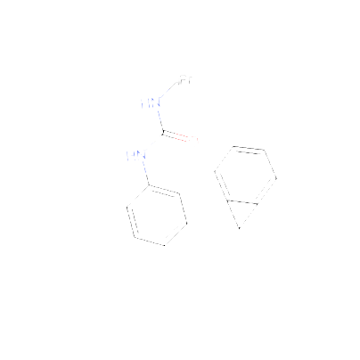 CC(C)NC(=O)Nc1ccccc1.c1ccc2c(c1)C2